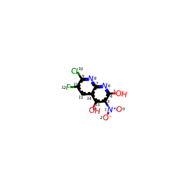 O=[N+]([O-])c1c(O)nc2nc(Cl)c(F)cc2c1O